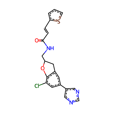 O=C(C=Cc1cccs1)NCC1Cc2cc(-c3cncnc3)cc(Cl)c2O1